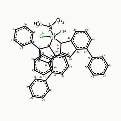 C[SiH](C)[Hf]([Cl])([Cl])([CH]1C(c2ccccc2)=Cc2c(-c3ccccc3)cccc21)[CH]1C(c2ccccc2)=Cc2c(-c3ccccc3)cccc21